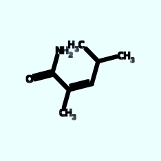 CC(=CC(C)C)C(N)=O